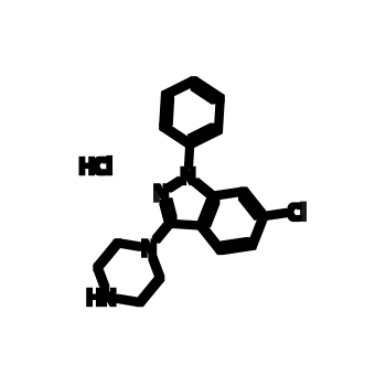 Cl.Clc1ccc2c(N3CCNCC3)nn(-c3ccccc3)c2c1